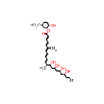 CC/C=C/[C@@H](O)C[C@H](O)CC(O)C[C@H](O)[C@H](C)/C=C/C=C/C=C(C)/C=C/C=C/C(=O)O[C@@H]1C[C@@H](C(=O)O)CC[C@@H]1O